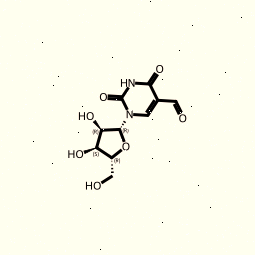 O=Cc1cn([C@@H]2O[C@H](CO)[C@@H](O)[C@H]2O)c(=O)[nH]c1=O